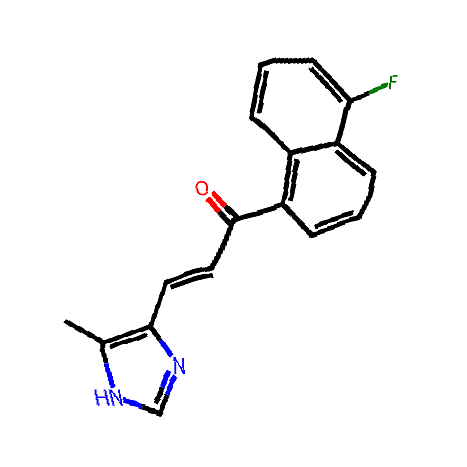 Cc1[nH]cnc1C=CC(=O)c1cccc2c(F)cccc12